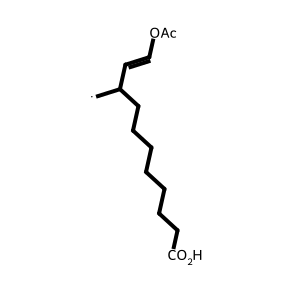 [CH2]C(C=COC(C)=O)CCCCCCCC(=O)O